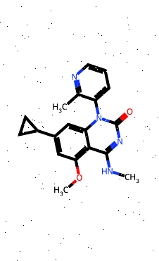 CNc1nc(=O)n(-c2cccnc2C)c2cc(C3CC3)cc(OC)c12